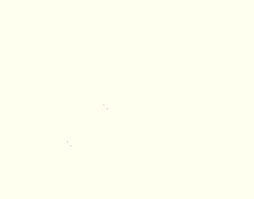 c1ccc(-c2cc(-c3ccc(N(c4ccc(-c5ccc6ccccc6c5)cc4)c4cccc5c4c4ccccc4n5-c4ccccc4)cc3)c3ccccc3c2)cc1